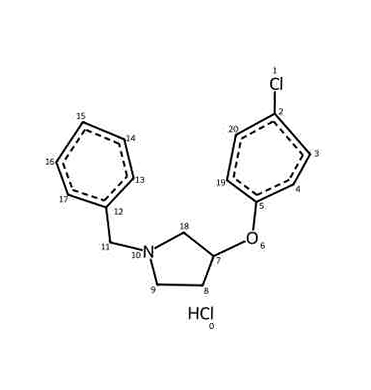 Cl.Clc1ccc(OC2CCN(Cc3ccccc3)C2)cc1